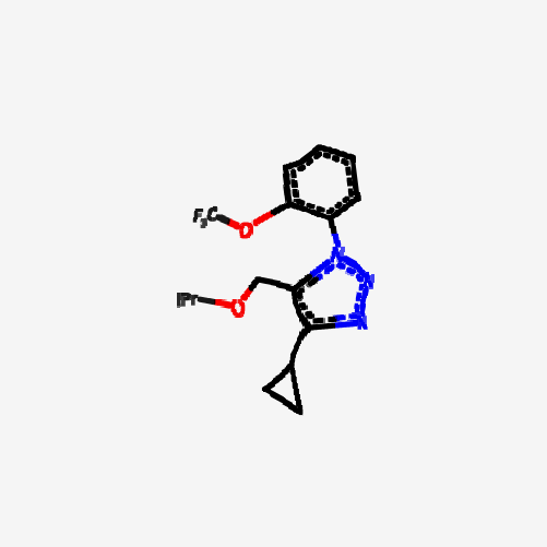 CC(C)OCc1c(C2CC2)nnn1-c1ccccc1OC(F)(F)F